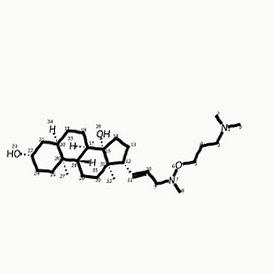 CN(C)CCCON(C)C/C=C/[C@H]1CC[C@]2(O)[C@@H]3CC[C@@H]4C[C@@H](O)CC[C@]4(C)[C@H]3CC[C@]12C